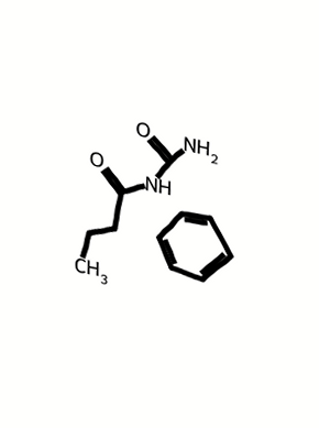 CCCC(=O)NC(N)=O.c1ccccc1